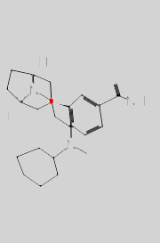 CN(CCCN1[C@@H]2CC[C@H]1C[C@@H](c1cccc(C(N)=O)c1)C2)C1CCCCC1